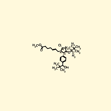 COC(=O)CCCC=CC[C@@H]1[C@@H](c2ccc(C(O)C(C)(C)C)cc2)[C@H](O[Si](C)(C)C(C)(C)C)C[C@H]1Cl